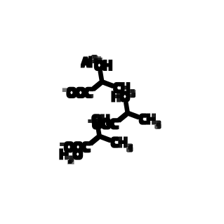 CC(O)C(=O)[O-].CC(O)C(=O)[O-].CC(O)C(=O)[O-].O.[Al+3]